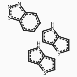 c1cc2sccc2[nH]1.c1cc2sccc2[nH]1.c1ccc2snnc2c1